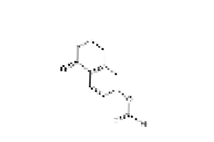 CCC(=O)Oc1ccc2c(c1)CCCC2=O